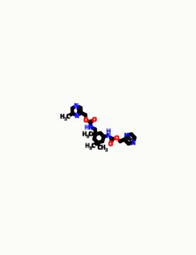 CC1CN2CCN1C(COC(=O)NCC1(C)CC(NC(=O)OCC3CN4CCN3CC4)CC(C)(C)C1)C2